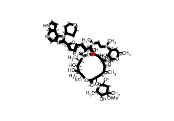 CC[C@H]1OC(=O)[C@H](C)[C@@H](O[C@H]2C[C@@](C)(OC)[C@@H](O)[C@H](C)O2)[C@H](C)[C@@H](O[C@@H]2O[C@H](C)CC(N(C)CCN(C)C(=O)/C(C#N)=C/c3ccc(-c4nc5cnc6[nH]ccc6c5n4C4CCOCC4)o3)[C@H]2O)[C@](C)(O)C[C@@H](C)CN(C)[C@H](C)[C@@H](O)[C@]1(C)O